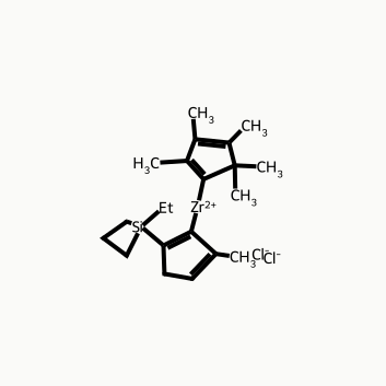 CC[Si]1(C2=[C]([Zr+2][C]3=C(C)C(C)=C(C)C3(C)C)C(C)=CC2)CCC1.[Cl-].[Cl-]